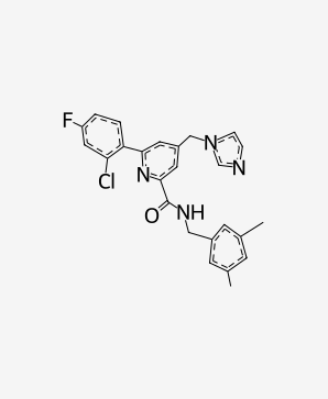 Cc1cc(C)cc(CNC(=O)c2cc(Cn3ccnc3)cc(-c3ccc(F)cc3Cl)n2)c1